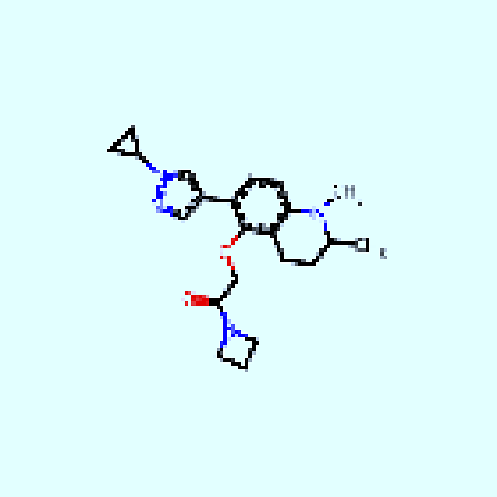 CC1CCc2c(ccc(-c3cnn(C4CC4)c3)c2OCC(=O)N2CCC2)N1C